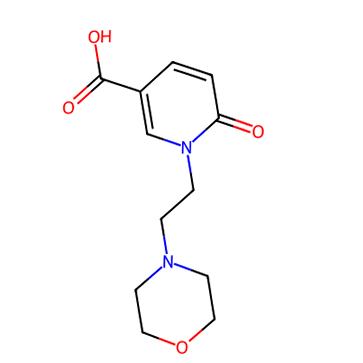 O=C(O)c1ccc(=O)n(CCN2CCOCC2)c1